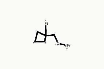 CCCOCC1(CC)CCC1